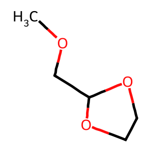 COCC1OCCO1